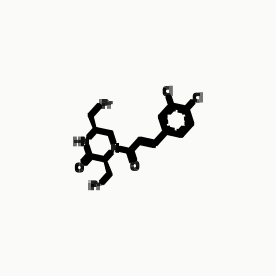 CC(C)C[C@H]1CN(C(=O)C=Cc2ccc(Cl)c(Cl)c2)[C@@H](CC(C)C)C(=O)N1